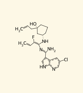 C=CC[C@@]1(O)CCC[C@H](NC(/N=C(\N)c2c[nH]c3ncc(Cl)cc23)=C(\F)C=C)C1